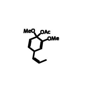 C/C=C\C1C=CC(OC)(OC(C)=O)C(OC)=C1